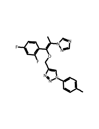 C/C(=C(/OCc1cn(-c2ccc(C)cc2)nn1)c1ccc(F)cc1F)n1cncn1